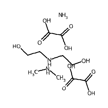 CNC.N.O=C(O)C(=O)O.O=C(O)C(=O)O.OCCNCCO